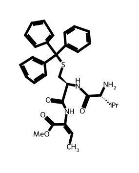 CC=C(NC(=O)[C@@H](CSC(c1ccccc1)(c1ccccc1)c1ccccc1)NC(=O)[C@H](N)C(C)C)C(=O)OC